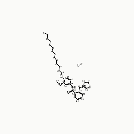 CCCCCCCCCCCCCCOc1ccc(NC(=O)c2ccccc2C[n+]2ccsc2)cc1OC.[Br-]